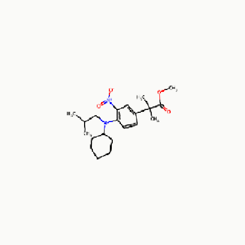 COC(=O)C(C)(C)c1ccc(N(CC(C)C)C2CCCCC2)c([N+](=O)[O-])c1